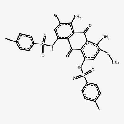 CCCCOc1cc(NS(=O)(=O)c2ccc(C)cc2)c2c(c1N)C(=O)c1c(N)c(Br)cc(NS(=O)(=O)c3ccc(C)cc3)c1C2=O